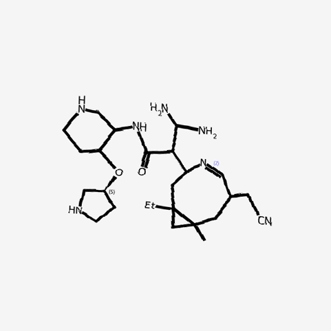 CCC12CC(C(C(=O)NC3CNCCC3O[C@H]3CCNC3)C(N)N)/N=C\C(CC#N)CC1(C)C2